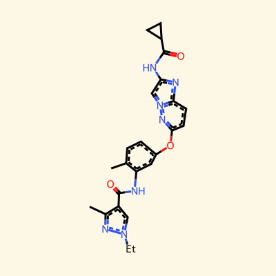 CCn1cc(C(=O)Nc2cc(Oc3ccc4nc(NC(=O)C5CC5)cn4n3)ccc2C)c(C)n1